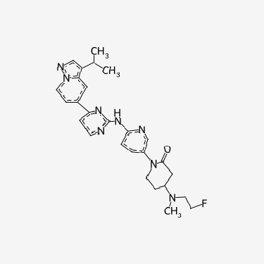 CC(C)c1cnn2ccc(-c3ccnc(Nc4ccc(N5CCC(N(C)CCF)CC5=O)cn4)n3)cc12